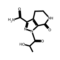 CC(O)C(=O)n1nc(C(N)=O)c2c1C(=O)NCC2